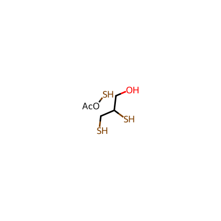 CC(=O)OS.OCC(S)CS